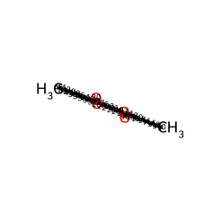 CCCCCCCCCCCCCCCC(=O)OCCCCCCCCCCOC(=O)CCCCCCCCCCCCCCC